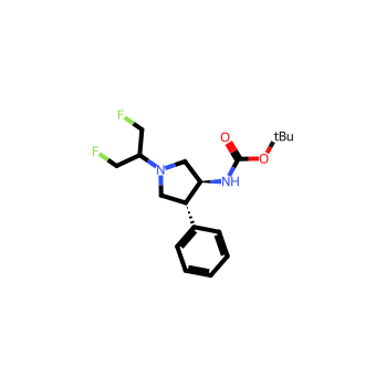 CC(C)(C)OC(=O)N[C@@H]1CN(C(CF)CF)C[C@H]1c1ccccc1